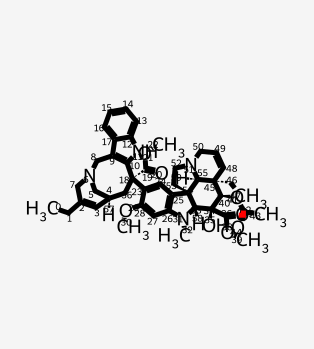 CCC1=C[C@H]2CN(C1)Cc1c([nH]c3ccccc13)[C@@](C(=O)OC)(c1cc3c(cc1OC)N(C)[C@H]1[C@@](O)(C(=O)OC)[C@H](OC(C)=O)[C@]4(CC)C=CCN5CC[C@]31[C@@H]54)C2